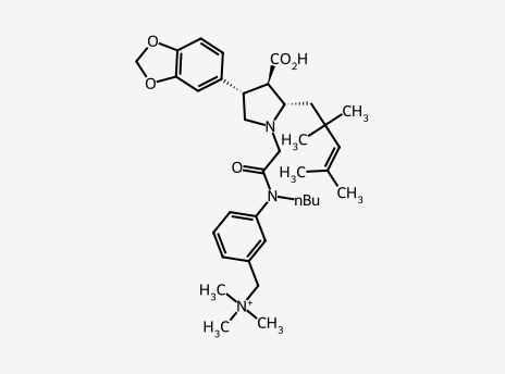 CCCCN(C(=O)CN1C[C@H](c2ccc3c(c2)OCO3)[C@@H](C(=O)O)[C@@H]1CC(C)(C)C=C(C)C)c1cccc(C[N+](C)(C)C)c1